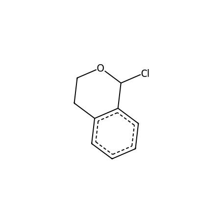 ClC1OCCc2ccccc21